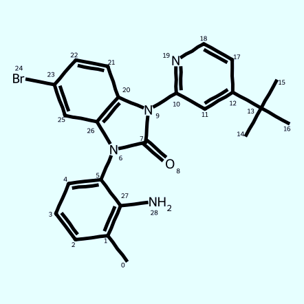 Cc1cccc(-n2c(=O)n(-c3cc(C(C)(C)C)ccn3)c3ccc(Br)cc32)c1N